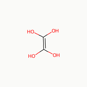 OC(O)=C(O)O